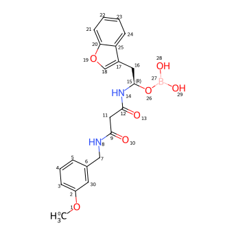 COc1cccc(CNC(=O)CC(=O)N[C@@H](Cc2coc3ccccc23)OB(O)O)c1